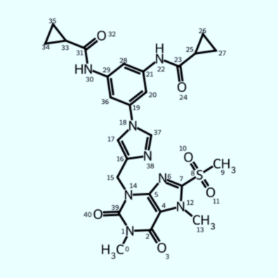 Cn1c(=O)c2c(nc(S(C)(=O)=O)n2C)n(Cc2cn(-c3cc(NC(=O)C4CC4)cc(NC(=O)C4CC4)c3)cn2)c1=O